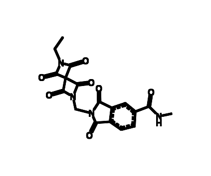 CCN1C(=O)C2(C1=O)C(=O)N(CN1C(=O)c3ccc(C(=O)NC)cc3C1=O)C2=O